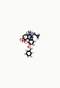 COC12CCC(=O)[C@@H]3Oc4c(OCc5ccccc5)ccc5c4[C@@]31CCN(CC1CC1)[C@@H]2C5